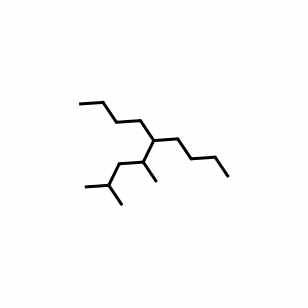 CCCCC(CCCC)C(C)CC(C)C